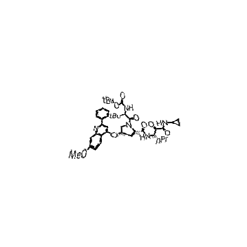 CCC[C@H](NC(=O)[C@@H]1C[C@@H](Oc2cc(-c3ccccc3)nc3cc(OC)ccc23)CN1C(=O)C(NC(=O)OC(C)(C)C)C(C)(C)C)C(=O)C(=O)NC1CC1